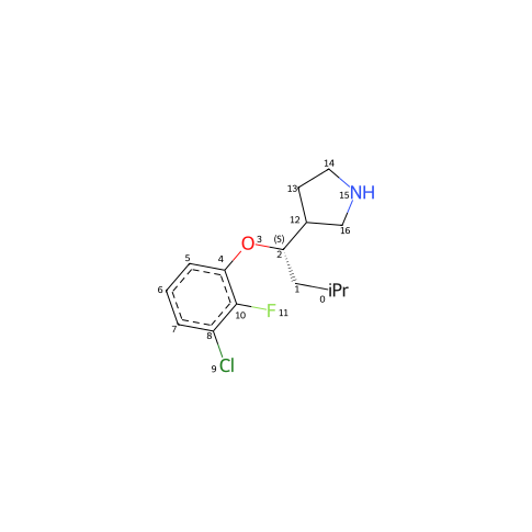 CC(C)C[C@H](Oc1cccc(Cl)c1F)C1CCNC1